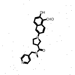 CN(Cc1ccncc1)C(=O)C1CCN(c2ccc3c(C=O)c(O)ccc3c2)C1